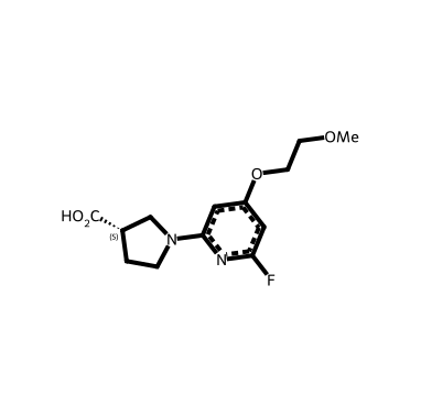 COCCOc1cc(F)nc(N2CC[C@H](C(=O)O)C2)c1